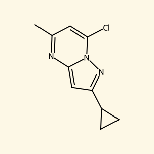 Cc1cc(Cl)n2nc(C3CC3)cc2n1